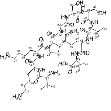 CC(C)[C@H](N)C(=O)N[C@@H](CCCCN)C(=O)N[C@@H](CCCCN)C(=O)N1CCC[C@H]1C(=O)NCC(=O)N[C@@H](CO)C(=O)N[C@@H](CO)C(=O)N[C@H](C(=O)N[C@@H](CCCCN)C(=O)N[C@H](C(=O)O)C(C)C)C(C)C